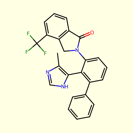 Cc1nc[nH]c1-c1c(-c2ccccc2)cccc1N1Cc2c(cccc2C(F)(F)F)C1=O